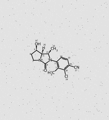 Cc1c(N2C(=O)N3CC[C@@H](O)[C@@H]3[C@H]2C)ccc(C#N)c1Cl